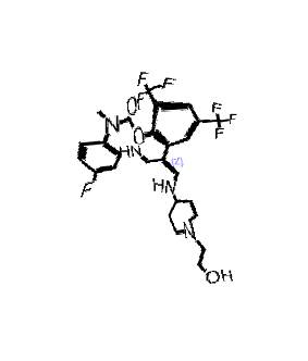 CN(C(=O)Oc1c(/C(C=N)=C/NC2CCN(CCO)CC2)cc(C(F)(F)F)cc1C(F)(F)F)c1ccc(F)cc1